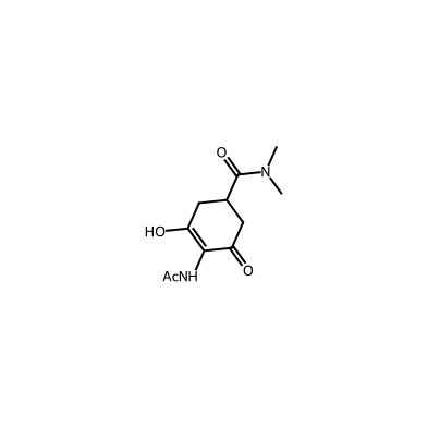 CC(=O)NC1=C(O)CC(C(=O)N(C)C)CC1=O